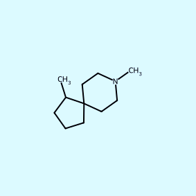 CC1CCCC12CCN(C)CC2